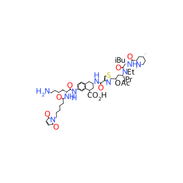 CC[C@H](C)[C@H](NC(=O)[C@H]1C[C@H](C)CCN1C)C(=O)N(CC)C(C[C@@H](OC(C)=O)c1nc(C(=O)N[C@H]2Cc3ccc(NC(=O)[C@H](CCCCN)NC(=O)CCCCCN4C(=O)C=CC4=O)cc3[C@H](C(=O)O)C2)cs1)C(C)C